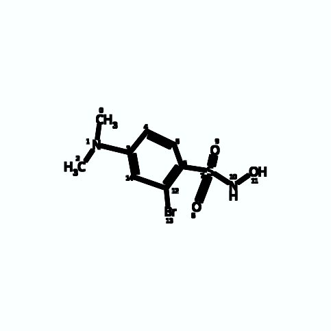 CN(C)c1ccc(S(=O)(=O)NO)c(Br)c1